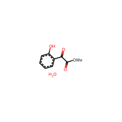 COC(=O)C(=O)c1ccccc1O.O